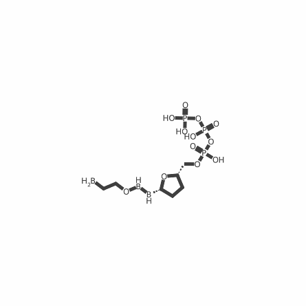 BCCOBB[C@H]1CC[C@@H](COP(=O)(O)OP(=O)(O)OP(=O)(O)O)O1